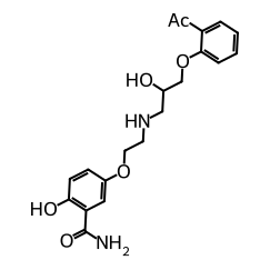 CC(=O)c1ccccc1OCC(O)CNCCOc1ccc(O)c(C(N)=O)c1